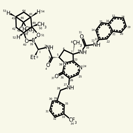 CC[C@H](NC(=O)[C@@H]1C[C@@](C)(NC(=O)Nc2ccc3ccccc3c2)c2ncc(NCc3cccc(C(F)(F)F)c3)c(=O)n21)B1O[C@@H]2C[C@@H]3C[C@@H](C3(C)C)[C@]2(C)O1